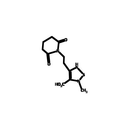 CN1SNC(CCN2C(=O)CCCC2=O)=C1C(=O)O